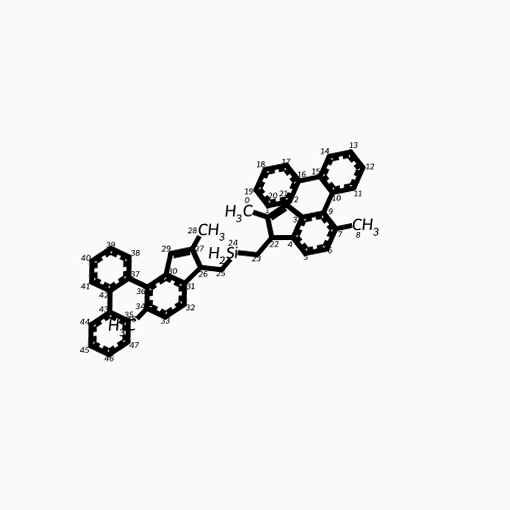 CC1=Cc2c(ccc(C)c2-c2ccccc2-c2ccccc2)C1C[SiH2]CC1C(C)=Cc2c1ccc(C)c2-c1ccccc1-c1ccccc1